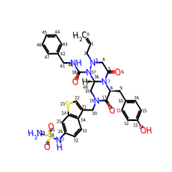 C=CCN1CC(=O)N2[C@@H](Cc3ccc(O)cc3)C(=O)N(Cc3csc4cc(NS(N)(=O)=O)ccc34)C[C@@H]2N1C(=O)NCc1ccccc1